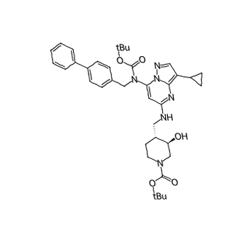 CC(C)(C)OC(=O)N1CC[C@H](CNc2cc(N(Cc3ccc(-c4ccccc4)cc3)C(=O)OC(C)(C)C)n3ncc(C4CC4)c3n2)[C@@H](O)C1